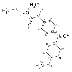 CCCOC(=O)C(CC)c1ccc(C(=O)C2CCC(CN)CC2)cc1